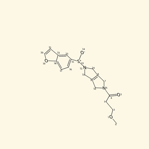 COCCC(=O)N1CC2=C(C1)CN([S+]([O-])c1ccc3occc3c1)C2